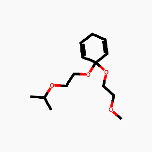 COCCOC1(OCCOC(C)C)C=C[CH]C=C1